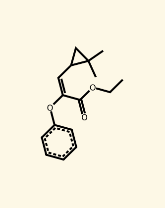 CCOC(=O)C(=CC1CC1(C)C)Oc1ccccc1